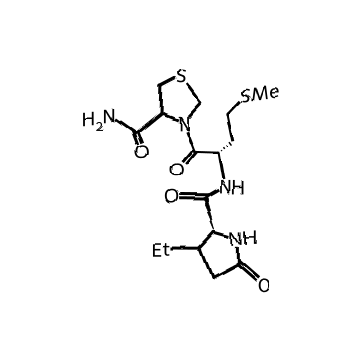 CCC1CC(=O)N[C@@H]1C(=O)N[C@@H](CCSC)C(=O)N1CSCC1C(N)=O